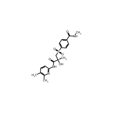 CNC(=O)c1ccc(S(=O)(=O)C[C@](C)(O)C(=O)Nc2ccc(C)c(C)n2)cc1